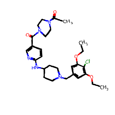 CCOc1cc(CN2CCC(Nc3ccc(C(=O)N4CCN(C(C)=O)CC4)cn3)CC2)cc(OCC)c1Cl